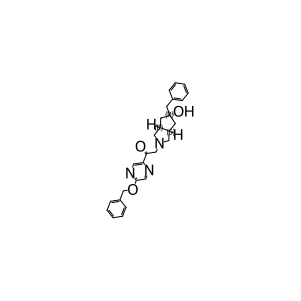 O=C(CN1C[C@@H]2C[C@@](O)(Cc3ccccc3)C[C@@H]2C1)c1cnc(OCc2ccccc2)cn1